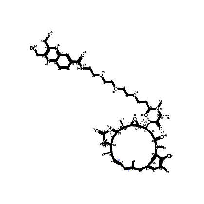 C/C1=C\C=C\[C@@H](C)[C@@]2(O)C[C@H](OC(=O)N2)[C@@H](C)C2O[C@@]2(C)[C@@H](OC(=O)[C@@H](C)N(C)C(=O)CCOCCOCCOCCNC(=O)c2ccc3nc(CBr)c(CBr)nc3c2)CC(=O)N(C)c2cc(cc(C)c2Cl)C1